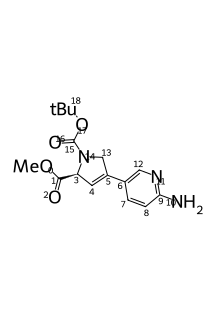 COC(=O)[C@@H]1C=C(c2ccc(N)nc2)CN1C(=O)OC(C)(C)C